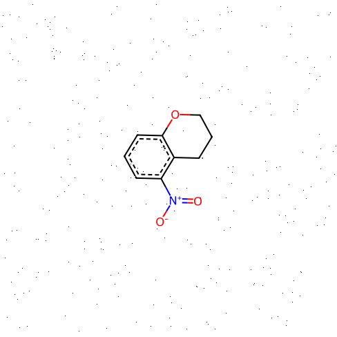 O=[N+]([O-])c1cccc2c1[CH]CCO2